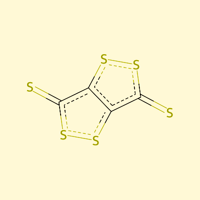 S=c1ssc2c(=S)ssc12